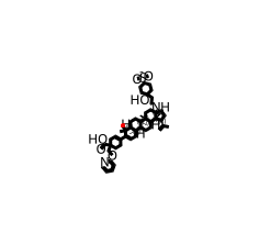 C=C(C)[C@@H]1CC[C@]2(NCC[C@]3(O)CC[C@@H](S(C)(=O)=O)CC3)CC[C@]3(C)[C@H](CC[C@@H]4[C@@]5(C)CC=C(C6=CCC(COc7ccccn7)(C(=O)O)CC6)C(C)(C)[C@@H]5CC[C@]43C)[C@@H]12